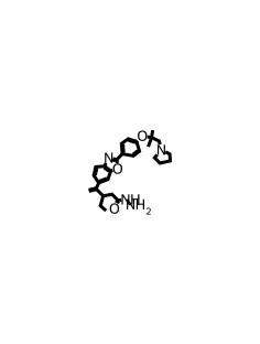 C=C(c1ccc2nc(-c3ccc(OC(C)(C)CN4CCCC4)cc3)oc2c1)C(CC)CC(=O)NN